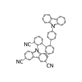 N#Cc1c#cc2c(c1)c1cc(C#N)ccc1n2-c1c(C#N)cccc1-c1ccccc1-c1ccc(-n2c3ccccc3c3ccccc32)cc1